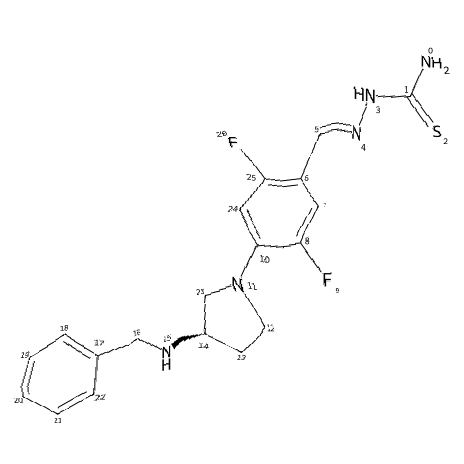 NC(=S)NN=Cc1cc(F)c(N2CC[C@@H](NCc3ccccc3)C2)cc1F